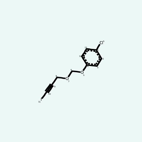 Clc1ccc(OCOCC#CI)cc1